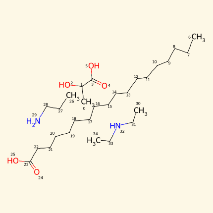 CC(O)C(=O)O.CCCCCCCCCCCCCCCCCC(=O)O.CCCN.CCNCC